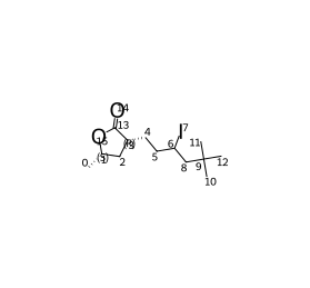 C[C@H]1C[C@@H](CCC(I)CC(C)(C)C)C(=O)O1